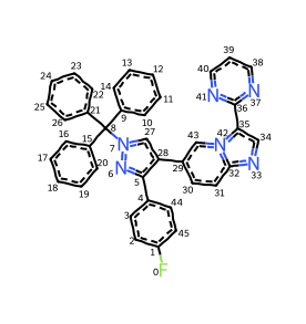 Fc1ccc(-c2nn(C(c3ccccc3)(c3ccccc3)c3ccccc3)cc2-c2ccc3ncc(-c4ncccn4)n3c2)cc1